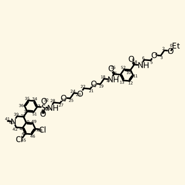 CCOCCOCCNC(=O)c1cccc(C(=O)NCCOCCOCCOCCNS(=O)(=O)c2cccc(C3CN(C)Cc4c(Cl)cc(Cl)cc43)c2)c1